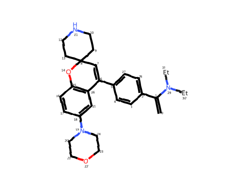 C=C(c1ccc(C2=CC3(CCNCC3)Oc3ccc(N4CCOCC4)cc32)cc1)N(CC)CC